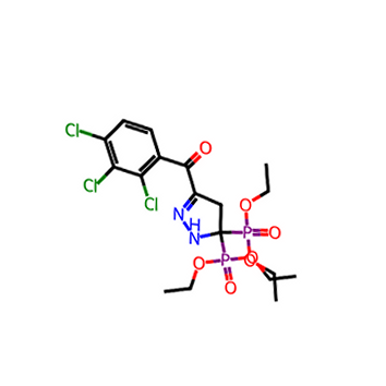 CCOP(=O)(OCC)C1(P(=O)(OCC)OCC)CC(C(=O)c2ccc(Cl)c(Cl)c2Cl)=NN1